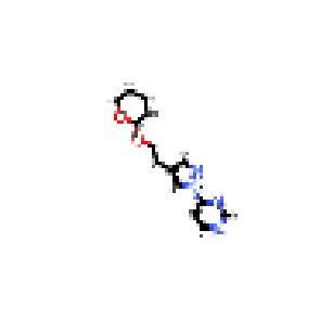 c1cc(-n2cc(CCOC3CCCCO3)cn2)ncn1